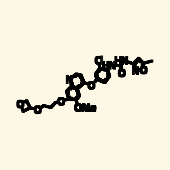 COc1cc2c(Oc3ccc(NC(=O)Nc4cc(C)on4)c(Cl)c3)ccnc2cc1OCCCOC1COC1